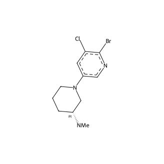 CN[C@@H]1CCCN(c2cnc(Br)c(Cl)c2)C1